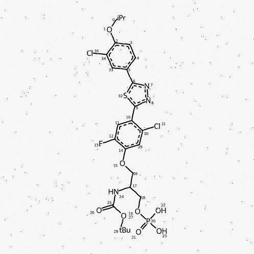 CC(C)Oc1ccc(-c2nnc(-c3cc(F)c(OCC(COP(=O)(O)O)NC(=O)OC(C)(C)C)cc3Cl)s2)cc1Cl